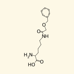 NC(CCCCNC(=O)COCc1ccccc1)C(=O)O